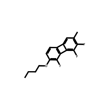 CCCCOc1ccc2c(c1F)-c1c-2cc(C)c(F)c1F